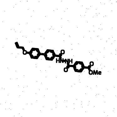 C=CCOc1ccc(-c2ccc(C(=O)NNC(=O)c3ccc(C(=O)OC)cc3)cc2)cc1